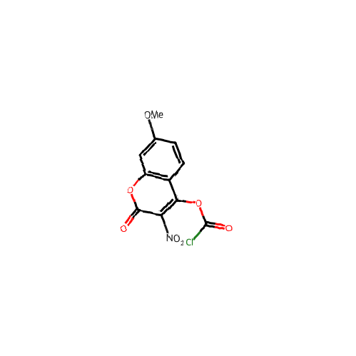 COc1ccc2c(OC(=O)Cl)c([N+](=O)[O-])c(=O)oc2c1